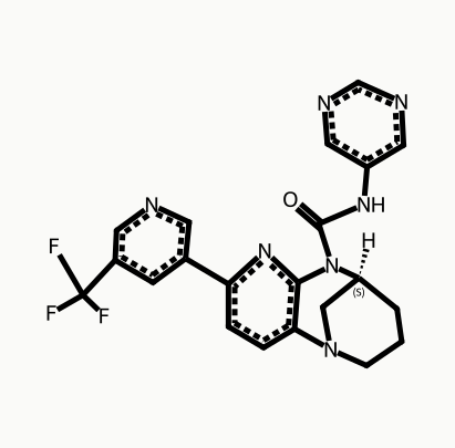 O=C(Nc1cncnc1)N1c2nc(-c3cncc(C(F)(F)F)c3)ccc2N2CCC[C@H]1C2